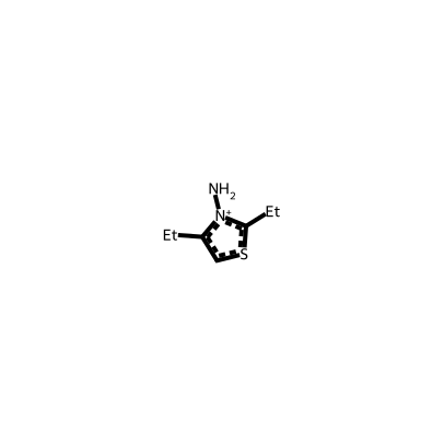 CCc1csc(CC)[n+]1N